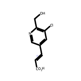 O=C(O)/C=C/c1cnc(CO)c(Cl)c1